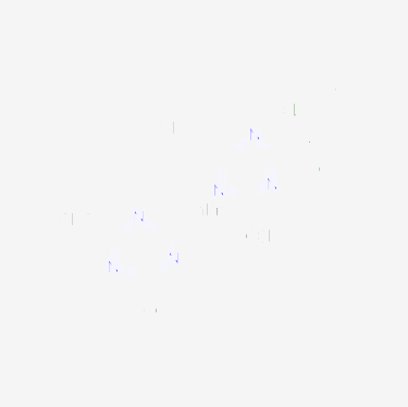 CCCc1nc(C(Cl)(Cl)Cl)nc(C(Cl)(Cl)Cl)n1.ClCC(Cl)(Cl)c1nc(C(Cl)(Cl)Cl)nc(C(Cl)(Cl)Cl)n1